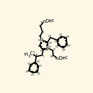 CCCCCCCCCCCCCn1cc(CC(C)c2ccccc2)[n+](CCCCCCCCCCCC)c1Cc1ccccc1